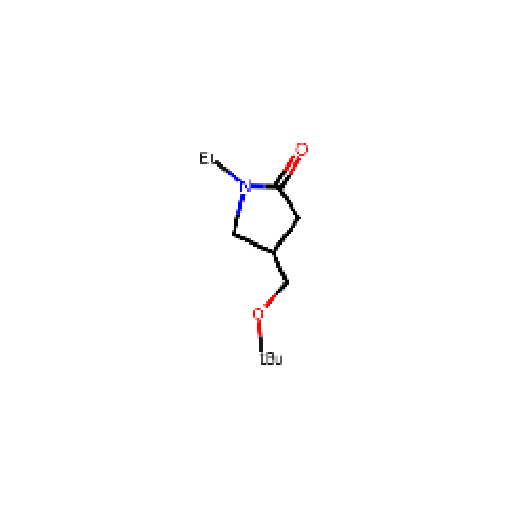 CCN1CC(COC(C)(C)C)CC1=O